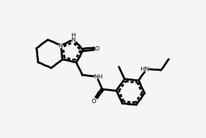 CCNc1cccc(C(=O)NCc2c3n([nH]c2=O)CCCC3)c1C